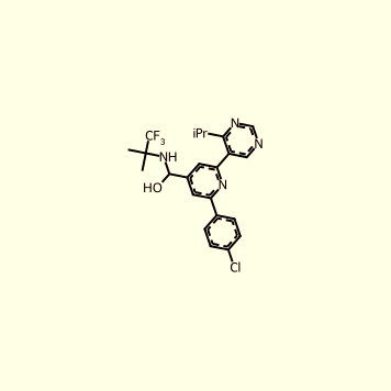 CC(C)c1ncncc1-c1cc(C(O)NC(C)(C)C(F)(F)F)cc(-c2ccc(Cl)cc2)n1